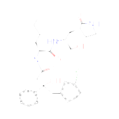 CCCC[C@H](NC(=O)CC(O)(Cc1cccc(Cl)c1)c1ccccc1)C(=O)N[C@H](CO)C[C@@H]1CCNC1=O